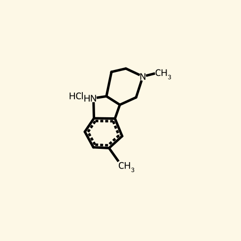 Cc1ccc2c(c1)C1CN(C)CCC1N2.Cl